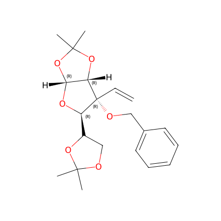 C=C[C@@]1(OCc2ccccc2)[C@@H](C2COC(C)(C)O2)O[C@@H]2OC(C)(C)O[C@@H]21